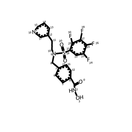 O=C(NO)c1ccc(CN(CCc2cccnc2)S(=O)(=O)c2cc(F)c(F)c(F)c2F)cc1